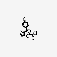 O=C(O[I+](c1ccc(Cl)cc1)c1cccs1)C(Cl)Cl